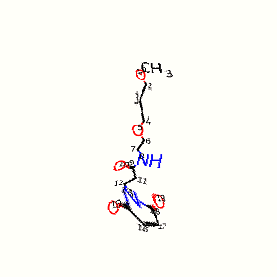 COCCCOCCNC(=O)CCN1C(=O)C=CC1=O